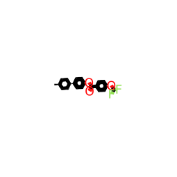 C[C@H]1CC[C@H](c2ccc(OC(=O)c3ccc(OC(F)F)cc3)cc2)CC1